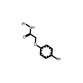 CC(C)NC(=O)COc1ccc(C(C)C)cc1